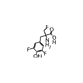 NC(CF)(Cc1cc(F)c(O)c(F)c1)C(=O)O